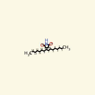 CCCCCCCCCCCCCCCC.O=C1CCC(=O)N1